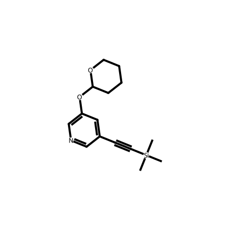 C[Si](C)(C)C#Cc1cncc(OC2CCCCO2)c1